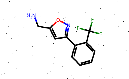 NCc1cc(-c2ccccc2C(F)(F)F)no1